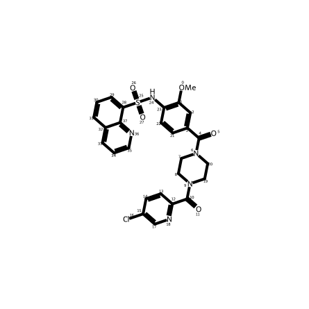 COc1cc(C(=O)N2CCN(C(=O)c3ccc(Cl)cn3)CC2)ccc1NS(=O)(=O)c1cccc2cccnc12